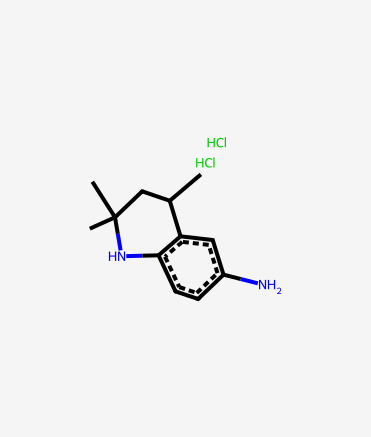 CC1CC(C)(C)Nc2ccc(N)cc21.Cl.Cl